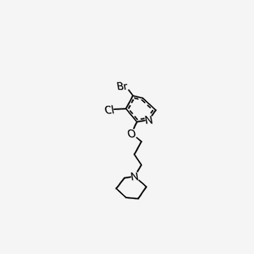 Clc1c(Br)ccnc1OCCCN1CCCCC1